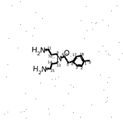 Cc1ccc(CC(=O)N(CCCN)CCCN)cc1